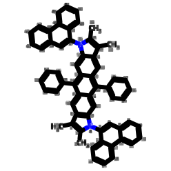 Cc1c(C)n(-c2cc3ccccc3c3ccccc23)c2cc3c(-c4ccccc4)c4cc5c(C)c(C)n(-c6cc7ccccc7c7ccccc67)c5cc4c(-c4ccccc4)c3cc12